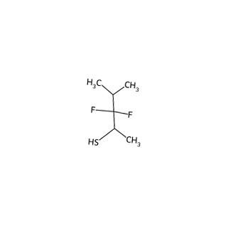 CC(C)C(F)(F)C(C)S